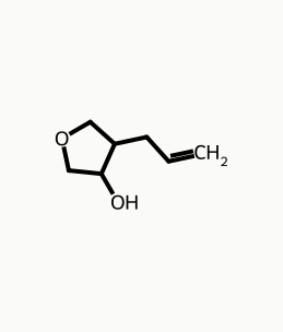 C=CCC1COCC1O